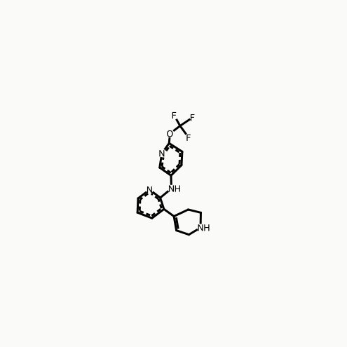 FC(F)(F)Oc1ccc(Nc2ncccc2C2=CCNCC2)cn1